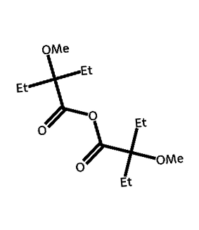 CCC(CC)(OC)C(=O)OC(=O)C(CC)(CC)OC